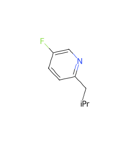 CC(C)Cc1ccc(F)cn1